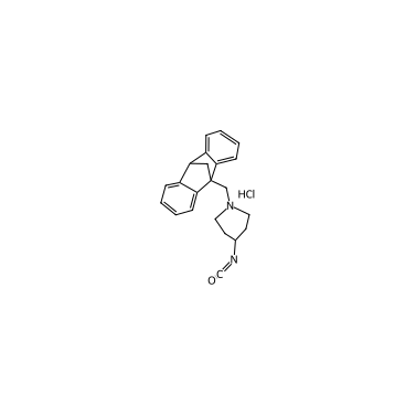 Cl.O=C=NC1CCN(CC23CC(c4ccccc42)c2ccccc23)CC1